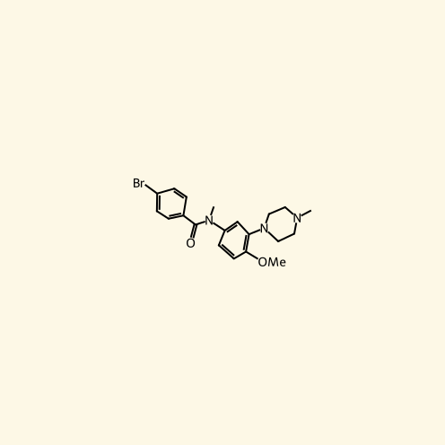 COc1ccc(N(C)C(=O)c2ccc(Br)cc2)cc1N1CCN(C)CC1